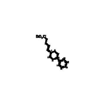 CCOC(=O)CCCCN1CCN(c2ccccn2)CC1